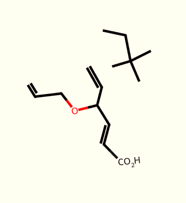 C=CCOC(C=C)C=CC(=O)O.CCC(C)(C)C